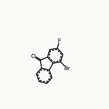 O=C1c2ccccc2-c2c(Br)cc(F)cc21